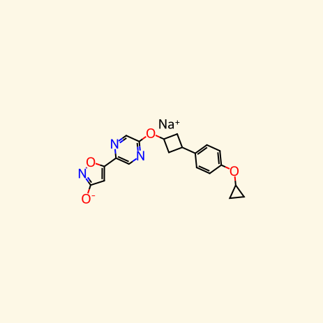 [Na+].[O-]c1cc(-c2cnc(OC3CC(c4ccc(OC5CC5)cc4)C3)cn2)on1